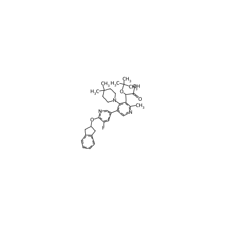 Cc1ncc(-c2cnc(OC3Cc4ccccc4C3)c(F)c2)c(N2CCC(C)(C)CC2)c1C(OC(C)(C)C)C(=O)O